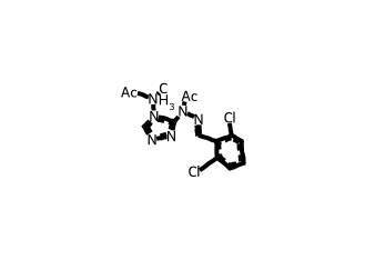 CC(=O)N(/N=C/c1c(Cl)cccc1Cl)c1nncn1N(C)C(C)=O